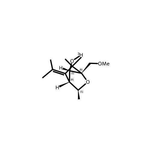 [3H]O[C@H]1[C@H]2C(=C(C)C)C(C)(C)[C@]1(COC)O[C@H]2C